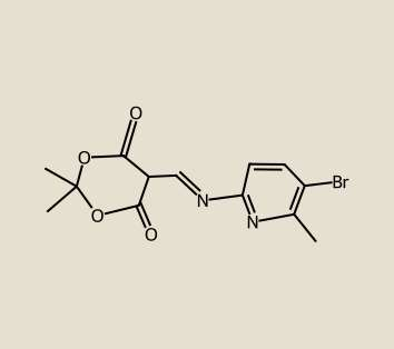 Cc1nc(N=CC2C(=O)OC(C)(C)OC2=O)ccc1Br